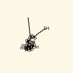 CCCCCCCCCCCCCCCC(=O)O[C@H](COC(=O)CCCCCCCCCCS)COP(=O)(O)OC1C(O)[C@@H](OP(=O)(O)O)C(OP(=O)(O)O)[C@@H](OP(=O)(O)O)[C@H]1O